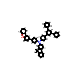 CC1(C)c2ccccc2-c2ccc(N(C3=CC=C(c4cc(-c5ccccc5)cc(-c5ccccc5)c4)CC3)c3ccc(-c4ccc5c(c4)C4CC=CC=C4O5)cc3)cc21